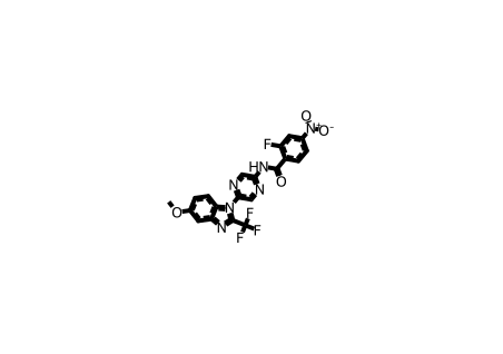 COc1ccc2c(c1)nc(C(F)(F)F)n2-c1cnc(NC(=O)c2ccc([N+](=O)[O-])cc2F)cn1